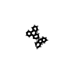 c1ccc2c(c1)c1ccccc1c1ccccc21.c1ccc2c(c1)oc1ccccc12